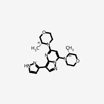 C[C@@H]1COCCN1c1cc(N2CCOC[C@H]2C)n2ncc(-c3cc[nH]n3)c2n1